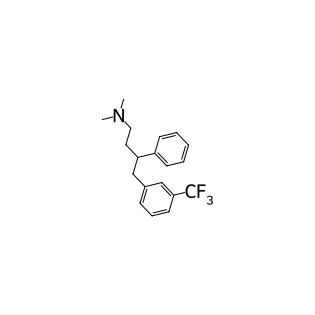 CN(C)CCC(Cc1cccc(C(F)(F)F)c1)c1ccccc1